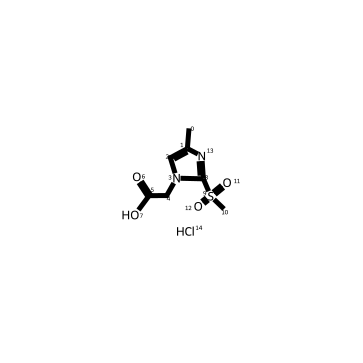 Cc1cn(CC(=O)O)c(S(C)(=O)=O)n1.Cl